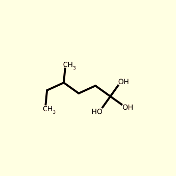 CCC(C)CCC(O)(O)O